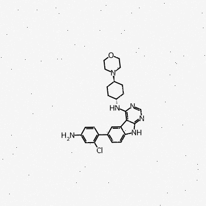 Nc1ccc(-c2ccc3[nH]c4ncnc(N[C@H]5CC[C@H](N6CCOCC6)CC5)c4c3c2)c(Cl)c1